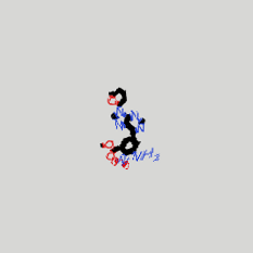 COC(=O)c1cc(-c2ncnc3c2ncn3C2CCCCO2)cc(N)c1[N+](=O)[O-]